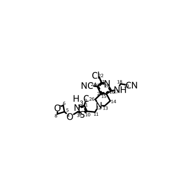 Cc1nc(OC2COC2)sc1CN1CCc2c(NCC#N)nc(Cl)c(C#N)c2C1